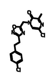 Cc1nc(Cl)cn(Cc2nc(CCc3ccc(Cl)cc3)no2)c1=O